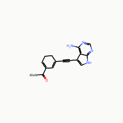 CNC(=O)C1=CCCC(C#Cc2c[nH]c3ncnc(N)c23)=C1